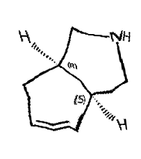 C1=C[C@@H]2CNC[C@@H]2C1